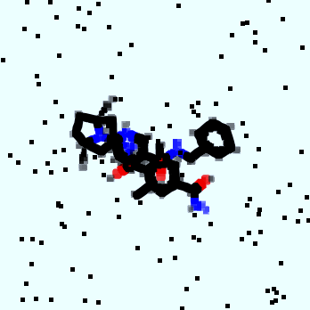 Cc1cc(C(N)=O)cc(C)c1C(=O)N[C@H]1C[C@H]2CC[C@@H](C1)N2c1ccc(C(=O)NCc2ccccc2)cn1